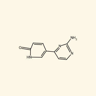 Nc1nccc(-c2ccc(=O)[nH]c2)n1